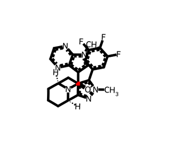 Cn1nc2c(c1-c1cc(F)c(F)c(F)c1)C[C@@H]1CCC[C@H]2N1C(=O)c1cn(C)c2nccnc12